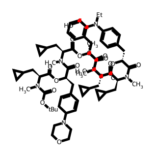 CCN(CCO)c1ccc(C[C@@H](OC(=O)[C@H](CC2CC2)N(C)C(=O)[C@@H](C)OC(=O)[C@H](CC2CC2)N(C)C(=O)[C@@H](CC2=CCC(N3CCOCC3)C=C2)OC(=O)[C@H](CC2CC2)N(C)C(=O)OC(C)(C)C)C(=O)N(C)[C@@H](CC2CC2)C(=O)O[C@H](C)C(=O)OCc2ccccc2)cc1